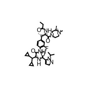 CCC(=O)N[C@@H](C(=O)N1CCN(C)[C@H](C)C1)[C@@H](C)c1ccc(NC(=O)[C@@H](NC(=O)c2ccnn2C(C)C)C(C2CC2)C2CC2)c(F)c1